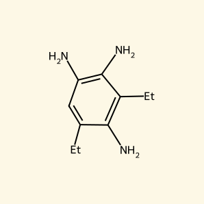 CCc1cc(N)c(N)c(CC)c1N